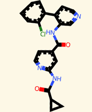 O=C(Nc1cnccc1-c1ccccc1Cl)c1ccnc(NC(=O)C2CC2)c1